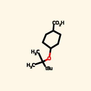 CC(C)(C)C(C)(C)OC1CCC(C(=O)O)CC1